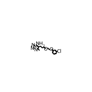 Cc1nc2ncnn2c(N)c1CCCOCCOc1cccc(Cl)c1